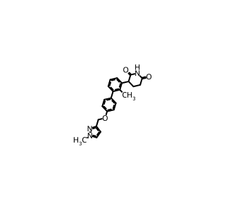 Cc1c(-c2ccc(OCc3ccn(C)n3)cc2)cccc1C1CCC(=O)NC1=O